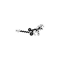 CCCCCCCCCCN1c2ccccc2C(C)=C(/C=C/C=c2/s/c(=C3/SC(=S)N(CC)C3=O)n(COC=O)c2=O)c2ccccc21